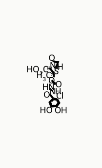 C[C@@]1(COC(=O)NNC(=O)c2cc(O)c(O)cc2Cl)S[C@@H]2CC(=O)N2[C@H]1C(=O)O